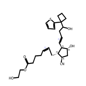 N#C[C@@H]1C[C@@H](O)[C@H](/C=C/CC(O)C2(c3cccs3)CCC2)[C@H]1C/C=C\CCCC(=O)OCCO